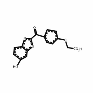 O=C(O)COc1ccc(C(=O)c2nc3ccc(O)cc3s2)cc1